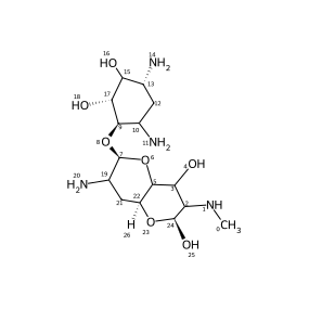 CNC1C(O)C2O[C@H](O[C@@H]3C(N)C[C@@H](N)C(O)[C@H]3O)C(N)C[C@@H]2O[C@@H]1O